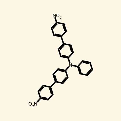 O=[N+]([O-])c1ccc(-c2ccc(N(c3ccccc3)c3ccc(-c4ccc([N+](=O)[O-])cc4)cc3)cc2)cc1